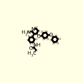 CCC(=O)Nc1cccc(-c2c(Oc3ccc(Oc4ccccc4)cc3)ccnc2N)c1